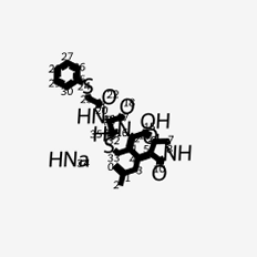 C=C(C)CC(=C1CCNC1=O)C1=C(C(=O)O)N2C(=O)[C@@H](NC(=O)CSc3ccccc3)[C@H]2SC1.[NaH]